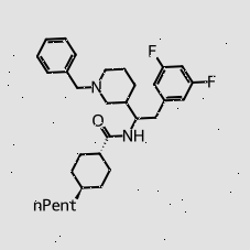 CCCCC[C@H]1CC[C@H](C(=O)NC(Cc2cc(F)cc(F)c2)C2CCCN(Cc3ccccc3)C2)CC1